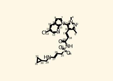 Cc1nn(C)c(-n2ccc3cc(Cl)cnc32)c1/C=C/C(=O)NS(=O)(=O)CC=CNCC1CC1